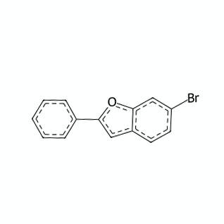 Brc1ccc2cc(-c3ccccc3)oc2c1